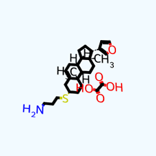 C[C@]12CC[C@H]3[C@@H](CC=C4C[C@@H](SCCCN)CC[C@@]43C)[C@@H]1CC[C@@H]2c1ccoc1.O=C(O)C(=O)O